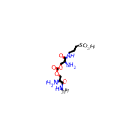 CCCNC(=O)C(N)COC(=O)OCC(N)C(=O)NCCCS(=O)(=O)O